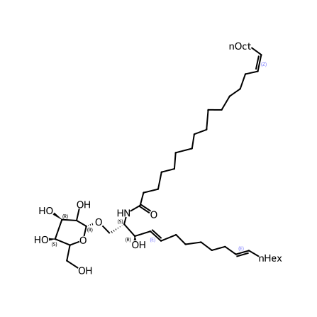 CCCCCC/C=C/CCCCC/C=C/[C@@H](O)[C@H](CO[C@@H]1OC(CO)[C@@H](O)[C@@H](O)C1O)NC(=O)CCCCCCCCCCCCC/C=C\CCCCCCCC